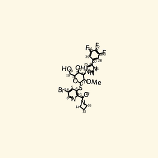 COC1C(Sc2cc(Br)cnc2C(=O)N2CCC2)OC(CO)C(O)C1n1cc(-c2cc(F)c(F)c(F)c2)nn1